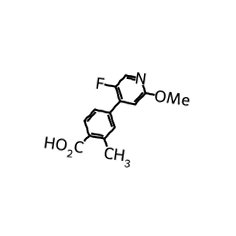 COc1cc(-c2ccc(C(=O)O)c(C)c2)c(F)cn1